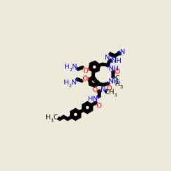 CCCCc1ccc(-c2ccc(C(=O)NCC(=O)N(C)C3C(=O)N[C@@H](C)C(=O)NC(c4ncc(C#N)[nH]4)Cc4ccc(OCCN)c(c4)-c4cc3ccc4OCCN)cc2)cc1